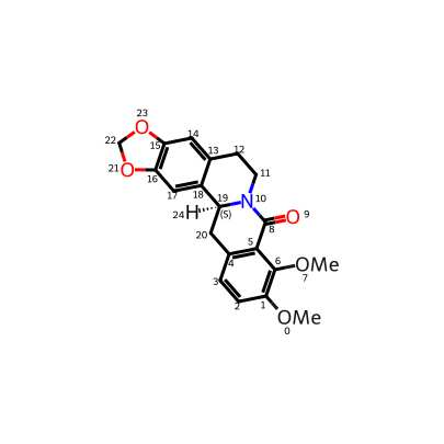 COc1ccc2c(c1OC)C(=O)N1CCc3cc4c(cc3[C@@H]1C2)OCO4